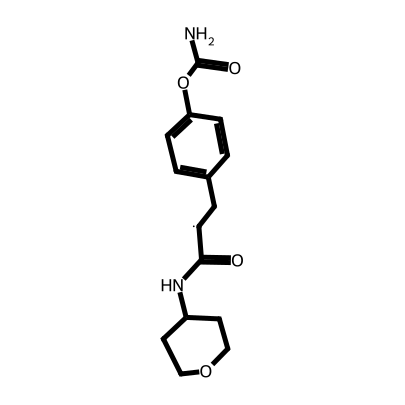 NC(=O)Oc1ccc(C[CH]C(=O)NC2CCOCC2)cc1